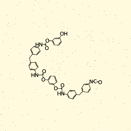 O=C=Nc1ccc(Cc2ccc(NC(=O)Oc3cccc(OC(=O)Nc4ccc(Cc5ccc(NC(=O)Oc6cccc(O)c6)cc5)cc4)c3)cc2)cc1